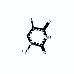 Cn1cc(I)c(=S)[nH]c1=O